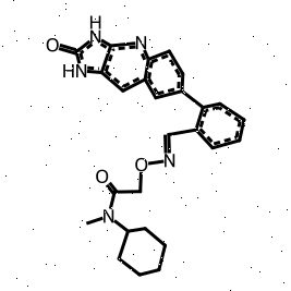 CN(C(=O)CON=Cc1ccccc1-c1ccc2nc3[nH]c(=O)[nH]c3cc2c1)C1CCCCC1